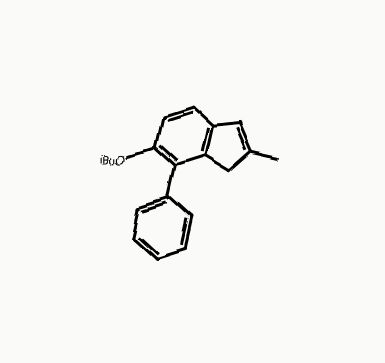 CC1=Cc2ccc(OCC(C)C)c(-c3ccccc3)c2C1